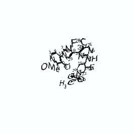 COc1nccc(-n2cnc(-c3nc(NC4CCN(S(C)(=O)=O)CC4F)ncc3C(F)(F)F)c2)c1Cl